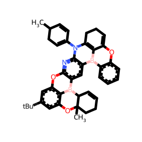 CC1C=CC(N2C3=C4B(c5ccccc5OC4=CCC3)c3cc4c(nc32)Oc2cc(C(C)(C)C)cc3c2B4C2C=CCCC2(C)O3)=CC1